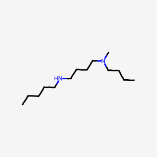 CCCCCNCCCCN(C)CCCC